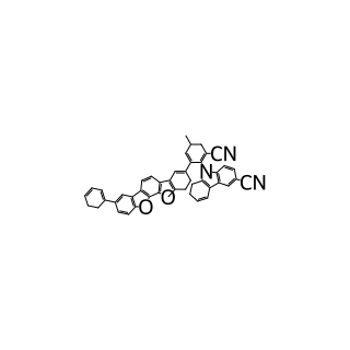 CC1C=C(C2=Cc3c(oc4c3ccc3c5cc(C6=CC=CCC6)ccc5oc34)CC2)C(n2c3c(c4cc(C#N)ccc42)C=CCC3)=C(C#N)C1